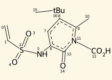 C=CS(=O)(=O)Nc1ccc(C)n(C(=O)O)c1=O.CC(C)(C)C